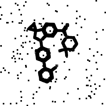 CC1(C)CN(C(=O)c2ccc3c(c2)N(c2ncc(-c4ccccc4F)cn2)CC32CC2)CCO1